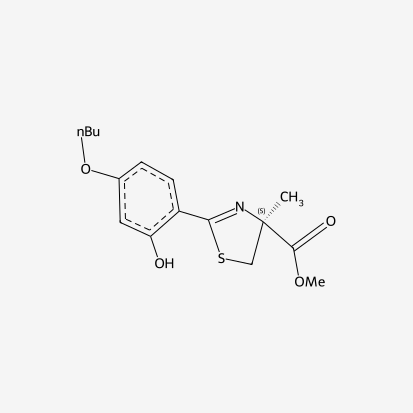 CCCCOc1ccc(C2=N[C@@](C)(C(=O)OC)CS2)c(O)c1